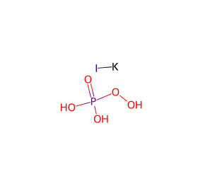 O=P(O)(O)OO.[K][I]